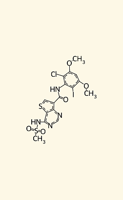 COc1cc(OC)c(I)c(NC(=O)c2csc3c(NS(C)(=O)=O)ncnc23)c1Cl